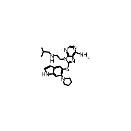 CC(C)CNCCn1c(Sc2cc3cc[nH]c3cc2N2CCCC2)nc2c(N)ncnc21